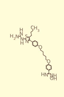 CCCCc1sc(NC(=N)N)nc1-c1ccc(OCCCCCOc2ccc(C(=N)NO)cc2)cc1